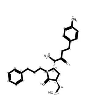 Nc1ccc(CCC(=O)C(N)[C@@H]2C[C@@H](CC(=O)O)C(=O)N2CCCc2ccccc2)cc1